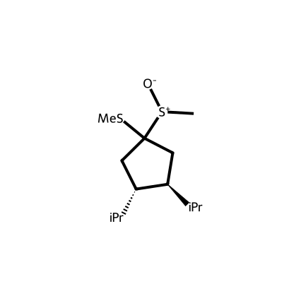 CSC1([S+](C)[O-])C[C@@H](C(C)C)[C@H](C(C)C)C1